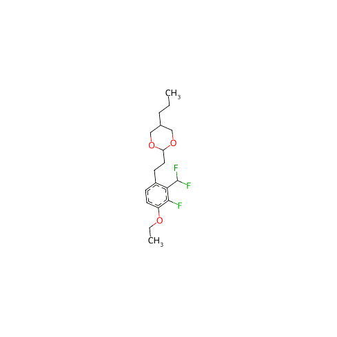 CCCC1COC(CCc2ccc(OCC)c(F)c2C(F)F)OC1